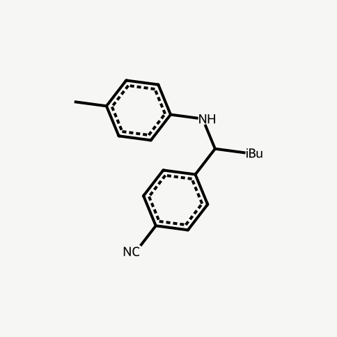 CCC(C)C(Nc1ccc(C)cc1)c1ccc(C#N)cc1